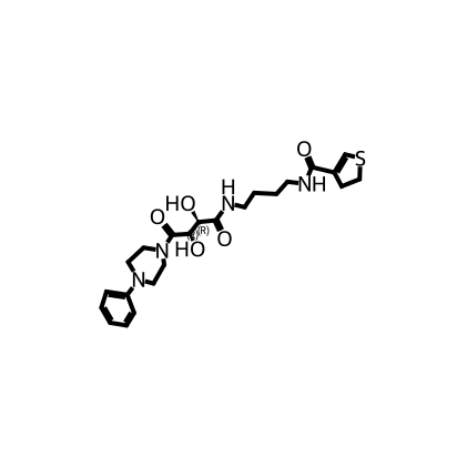 O=C(NCCCCNC(=O)[C@H](O)[C@@H](O)C(=O)N1CCN(c2ccccc2)CC1)C1=CSCC1